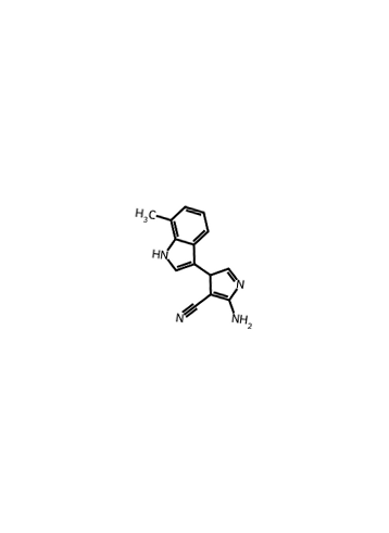 Cc1cccc2c(C3C=NC(N)=C3C#N)c[nH]c12